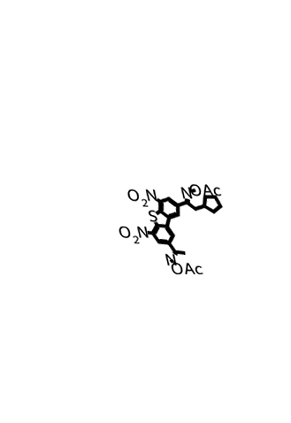 CC(=O)O/N=C(\C)c1cc([N+](=O)[O-])c2sc3c([N+](=O)[O-])cc(/C(CC4CCCC4)=N/OC(C)=O)cc3c2c1